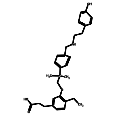 CCc1ccc(CCC(=O)O)cc1OC[Si](C)(C)c1ccc(CNCCc2ccc(O)cc2)cc1